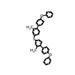 Cc1cc(Sc2ccc(-c3ccc(Oc4ccccc4)cc3)c(C)c2)ccc1-c1ccc(Oc2ccccc2)cc1